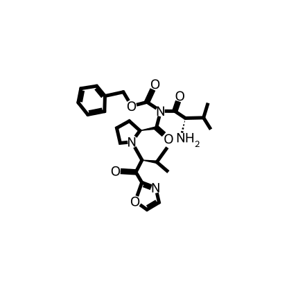 CC(C)[C@H](N)C(=O)N(C(=O)OCc1ccccc1)C(=O)[C@@H]1CCCN1[C@H](C(=O)c1ncco1)C(C)C